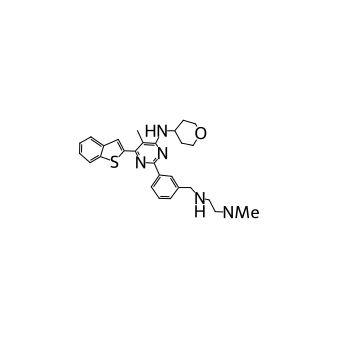 CNCCNCc1cccc(-c2nc(NC3CCOCC3)c(C)c(-c3cc4ccccc4s3)n2)c1